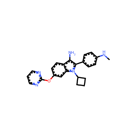 CNc1ccc(-c2c(N)c3ccc(Oc4ncccn4)cc3n2C2CCC2)cc1